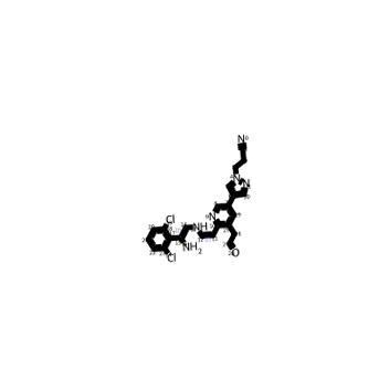 N#CCCn1cc(-c2cnc(/C=C\N/C=C(\N)c3c(Cl)cccc3Cl)c(CC=O)c2)cn1